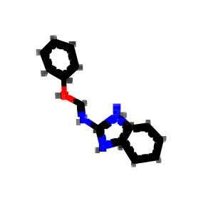 C(=Nc1nc2ccccc2[nH]1)Oc1ccccc1